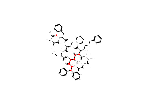 CCC(C)[C@@H](C(=O)N[C@@H](C)C(=O)N(C)C(Cc1ccccc1)C(=O)N(C)[C@H](C(=O)NC(CC(=O)OCc1ccccc1)C(=O)N1CCCCC1)C(C)C)N(C)C(=O)CN(C)C(=O)[C@@H](NC(=O)[C@H](CC(C)C)N(C)C(=O)C(CC(C)C)NC(=O)[C@H](Cc1ccccc1)N(C)C(=O)C(C)N(C)C(=O)OC(C)(C)C)C(C)OCc1ccccc1